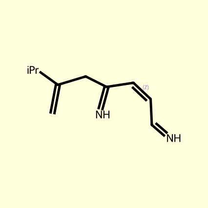 C=C(CC(=N)/C=C\C=N)C(C)C